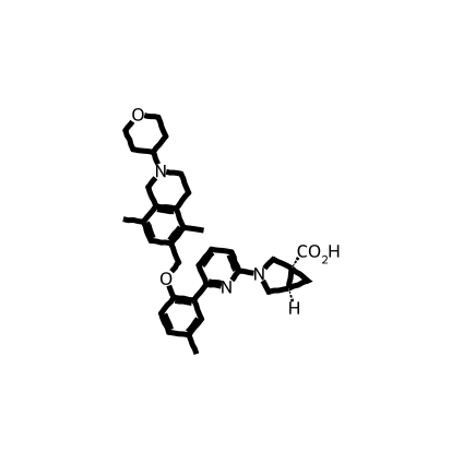 Cc1ccc(OCc2cc(C)c3c(c2C)CCN(C2CCOCC2)C3)c(-c2cccc(N3C[C@@H]4C[C@]4(C(=O)O)C3)n2)c1